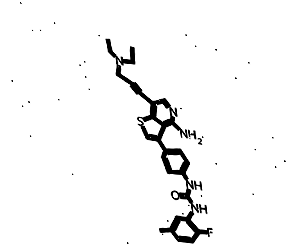 CCN(CC)CC#Cc1cnc(N)c2c(-c3ccc(NC(=O)Nc4cc(C)ccc4F)cc3)csc12